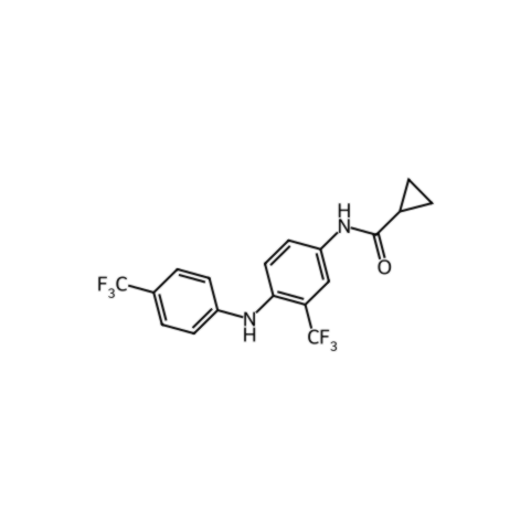 O=C(Nc1ccc(Nc2ccc(C(F)(F)F)cc2)c(C(F)(F)F)c1)C1CC1